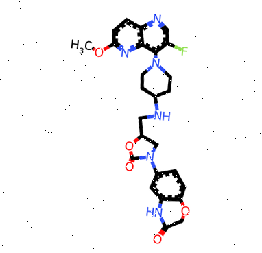 COc1ccc2ncc(F)c(N3CCC(NCC4CN(c5ccc6c(c5)NC(=O)CO6)C(=O)O4)CC3)c2n1